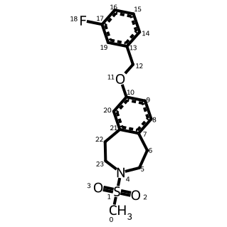 CS(=O)(=O)N1CCc2ccc(OCc3cccc(F)c3)cc2CC1